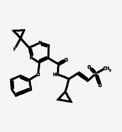 CS(=O)(=O)/C=C/C(NC(=O)c1cnc(C2(F)CC2)nc1Oc1ccccc1)C1CC1